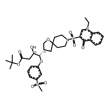 CCn1cc(S(=O)(=O)N2CCC3(CC2)C[C@H](C(Oc2cccc(S(C)(=O)=O)c2)[C@H](O)CC(=O)OC(C)(C)C)CO3)c(=O)c2ccccc21